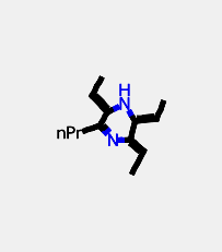 CC=C1N=C(CCC)C(=CC)NC1=CC